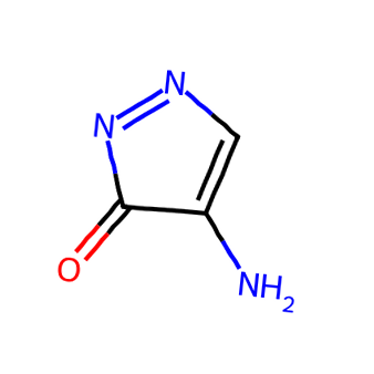 NC1=CN=NC1=O